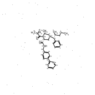 COCC(C)[C@H](c1ccccc1)N1C[C@@H](C)N(C(=O)C(C)C)[C@@H](C(=O)NCc2ccc(-c3ncccn3)cc2)C1